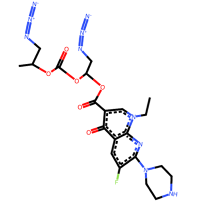 CCn1cc(C(=O)OC(CN=[N+]=[N-])OC(=O)OC(C)CN=[N+]=[N-])c(=O)c2cc(F)c(N3CCNCC3)nc21